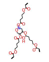 C=CC(=O)OCCCCC(=O)O[C@@H]1CON(OC(=O)CCCCOC(=O)C=C)C[C@@H]1OC(O)CCCCOC(=O)C=C